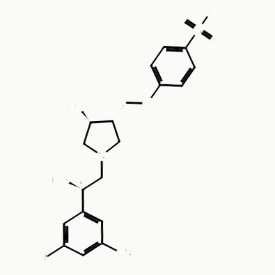 C[C@@H]1CN(C[C@H](O)c2cc(Cl)cc(C#N)c2)C[C@H]1COc1ccc(S(C)(=O)=O)cc1